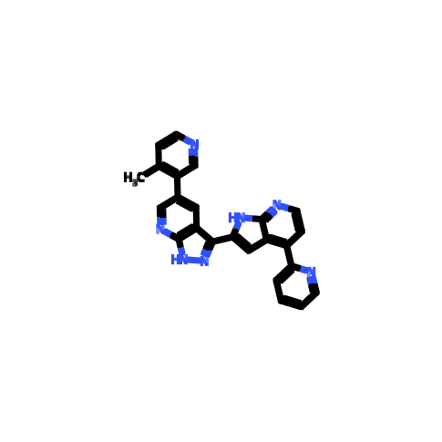 Cc1ccncc1-c1cnc2[nH]nc(-c3cc4c(-c5ccccn5)ccnc4[nH]3)c2c1